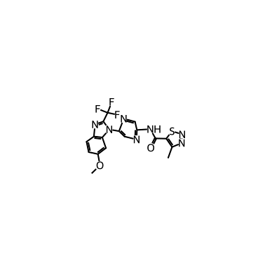 COc1ccc2nc(C(F)(F)F)n(-c3cnc(NC(=O)c4snnc4C)cn3)c2c1